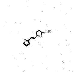 O=C[C@@H]1CC[C@H](/C=C/c2ccco2)O1